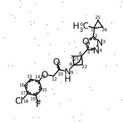 CC1(c2nnc(C34CC(NC(=O)COc5ccc(Cl)c(F)c5)(C3)C4)o2)CC1